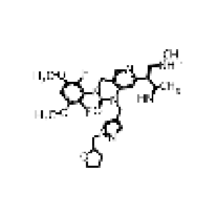 CN/C=C(\C(C)=N)c1cc2c(cn1)CN(c1c(F)c(OC)cc(OC)c1F)C(=O)N2Cc1cnn(CC2CCCO2)c1